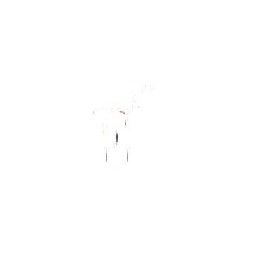 CCOC(=O)CC(=C1CCCCC1)P1(=O)SCCS1